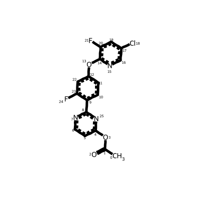 CC(=O)Oc1ccnc(-c2ccc(Oc3ncc(Cl)cc3F)cc2F)n1